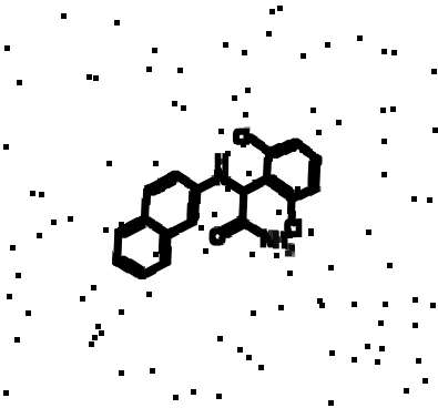 NC(=O)C(Nc1ccc2ccccc2c1)c1c(Cl)cccc1Cl